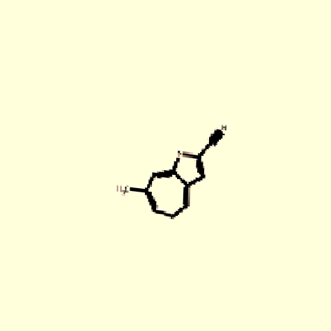 CC1=CCC=c2cc(C#N)sc2=C1